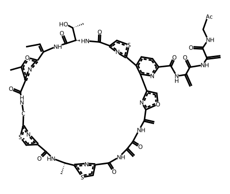 C=C(NC(=O)C(=C)NC(=O)c1ccc2c(n1)-c1coc(n1)C(=C)NC(=O)C(=C)NC(=O)c1csc(n1)[C@H](C)NC(=O)c1csc(n1)CNC(=O)c1nc(oc1C)/C(=C\C)NC(=O)[C@H]([C@@H](C)O)NC(=O)c1csc-2n1)C(=O)NCC(C)=O